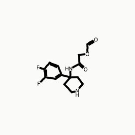 O=COCC(=O)NC1(c2ccc(F)c(F)c2)CCNCC1